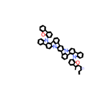 C=C/C=C\c1oc2c(-n3c4ccccc4c4ccc5c(c6cccc7c8cc9c(cc8n5c76)c5cccc6c7c8c(ccc7n9c56)c5ccccc5n8-c5cccc6c5oc5ccccc56)c43)cccc2c1C